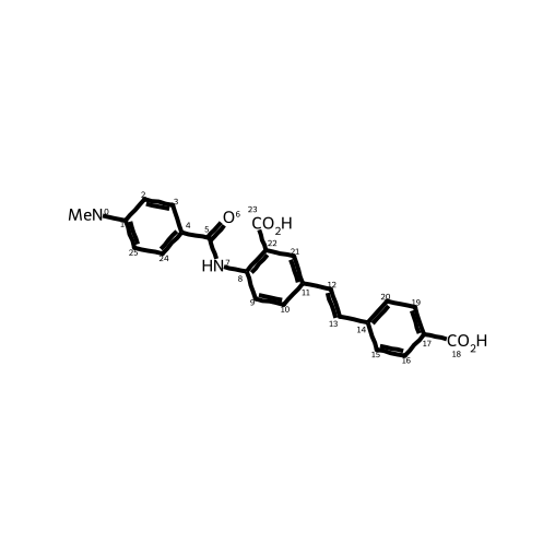 CNc1ccc(C(=O)Nc2ccc(C=Cc3ccc(C(=O)O)cc3)cc2C(=O)O)cc1